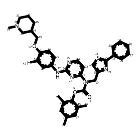 Cc1cc(C)c(OC(=O)N(Cc2csc(-c3ccccc3)n2)c2ccnc(Nc3ccc(OCC4CCCN(C)C4)c(F)c3)n2)c(C)c1